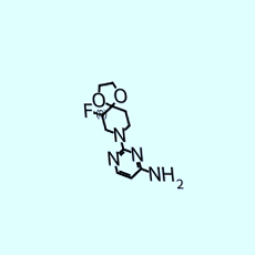 Nc1ccnc(N2CCC3(OCCO3)[C@H](F)C2)n1